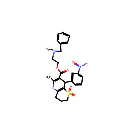 CC1=C(C(=O)OCCN(C)Cc2ccccc2)C(c2cccc([N+](=O)[O-])c2)C2=C(CCCS2(=O)=O)N1